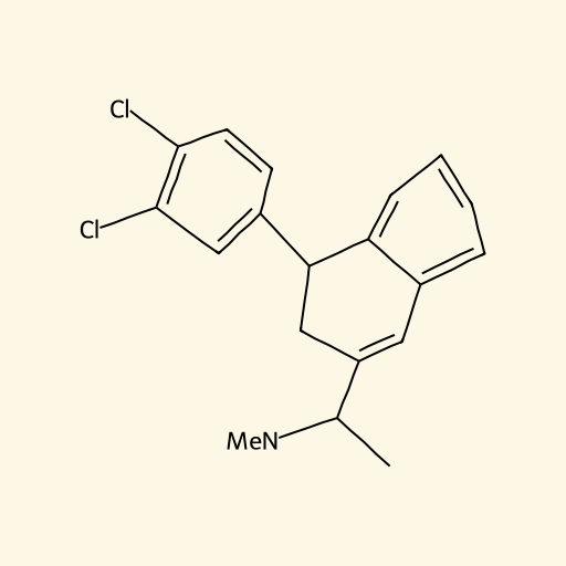 CNC(C)C1=Cc2ccccc2C(c2ccc(Cl)c(Cl)c2)C1